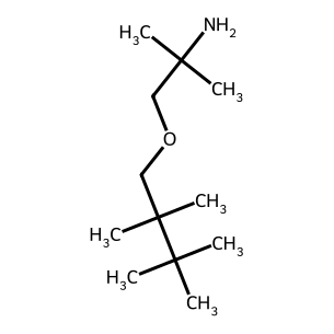 CC(C)(N)COCC(C)(C)C(C)(C)C